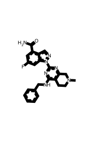 CN1CCc2c(nc(-n3ncc4c(C(N)=O)cc(F)cc43)nc2NCc2ccccc2)C1